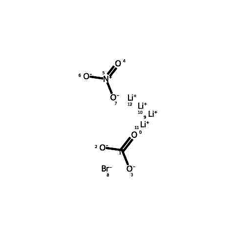 O=C([O-])[O-].O=[N+]([O-])[O-].[Br-].[Li+].[Li+].[Li+].[Li+]